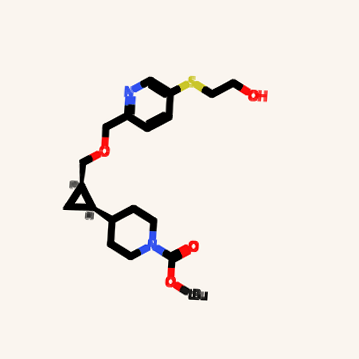 CC(C)(C)OC(=O)N1CCC([C@H]2C[C@H]2COCc2ccc(SCCO)cn2)CC1